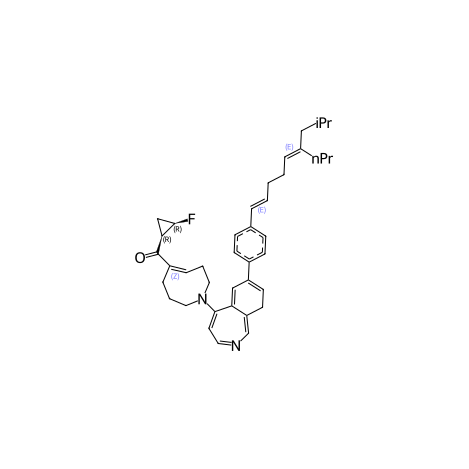 CCC/C(=C\CC/C=C/c1ccc(C2=CCC3=CN=CC=C(N4CC/C=C(\C(=O)[C@H]5C[C@H]5F)CCC4)C3=C2)cc1)CC(C)C